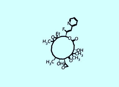 CCC12C[C@@H](C(F)=Cc3ccccn3)OC(=O)C[C@H](O)C(C)(C)C(=O)[C@@H](C3CO3)[C@H](O)[C@@H](C)CCCC1(C)O2